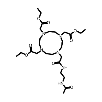 CCOC(=O)CN1CCN(CC(=O)NCCNC(C)=O)CCN(CC(=O)OCC)CCN(CC(=O)OCC)CC1